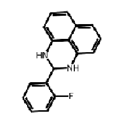 Fc1ccccc1C1Nc2cccc3cccc(c23)N1